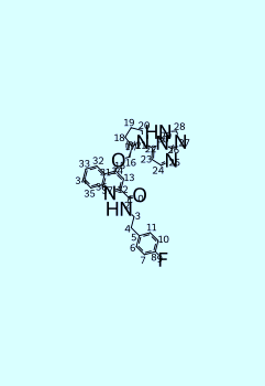 O=C(NCCc1ccc(F)cc1)c1cc(OC[C@H]2CCCN2C2=CC=NC3=NCNN23)c2ccccc2n1